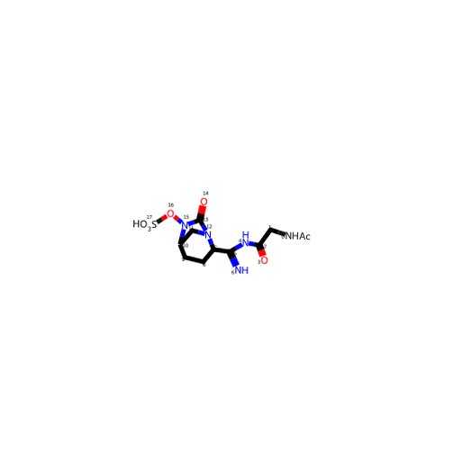 CC(=O)NCC(=O)NC(=N)C1CCC2CN1C(=O)N2OS(=O)(=O)O